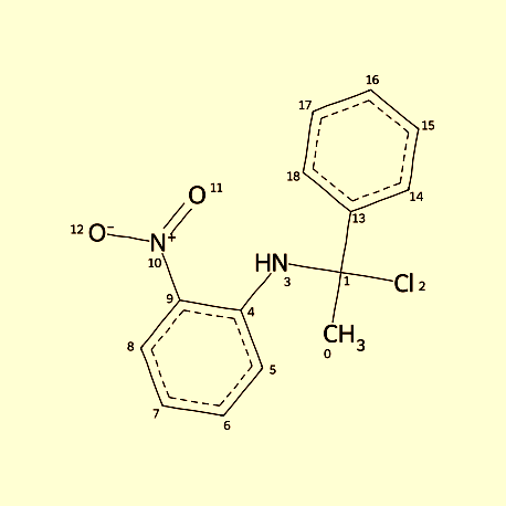 CC(Cl)(Nc1ccccc1[N+](=O)[O-])c1ccccc1